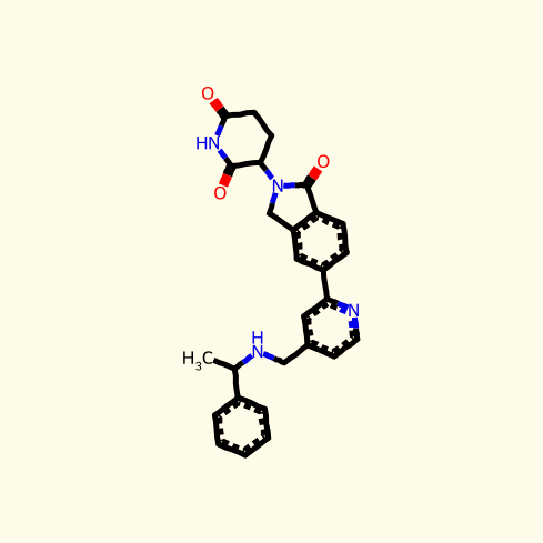 CC(NCc1ccnc(-c2ccc3c(c2)CN(C2CCC(=O)NC2=O)C3=O)c1)c1ccccc1